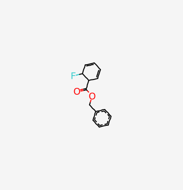 O=C(OCc1ccccc1)C1C=CC=CC1F